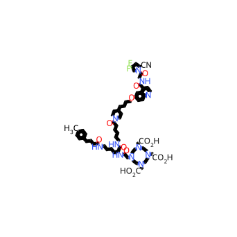 Cc1ccc(CCCC(=O)NCCCCC(NC(=O)CN2CCN(CC(=O)O)CCN(CC(=O)O)CCN(CC(=O)O)CC2)C(=O)NCCCCCC(=O)N2CCC(CCCCOc3ccc4nccc(C(=O)NCC(=O)N5CC(F)(F)C[C@@H]5C#N)c4c3)CC2)cc1